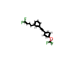 FC(F)=CCCc1cccc(C#Cc2ccc(OC(F)F)cc2)c1